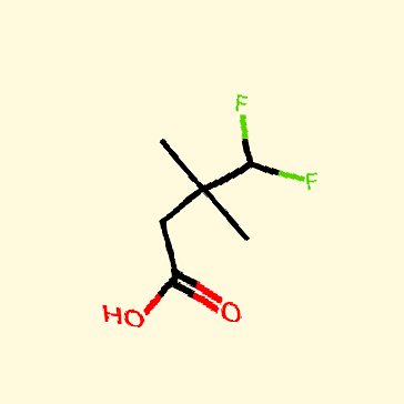 CC(C)(CC(=O)O)C(F)F